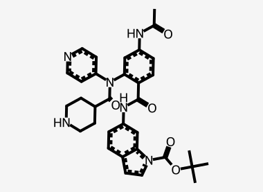 CC(=O)Nc1ccc(C(=O)Nc2ccc3ccn(C(=O)OC(C)(C)C)c3c2)c(N(C(=O)C2CCNCC2)c2ccncc2)c1